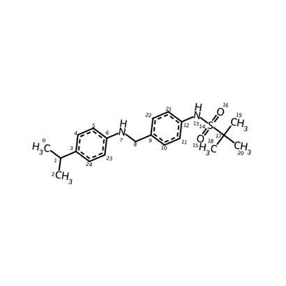 CC(C)c1ccc(NCc2ccc(NS(=O)(=O)C(C)(C)C)cc2)cc1